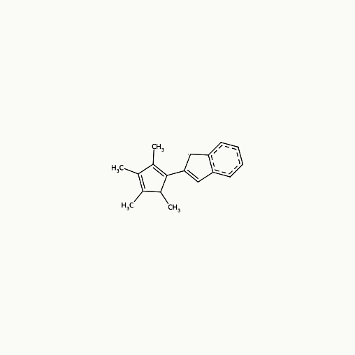 CC1=C(C)C(C)C(C2=Cc3ccccc3[CH]2)=C1C